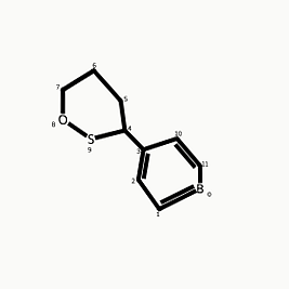 b1ccc(C2CCCOS2)cc1